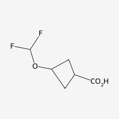 O=C(O)C1CC(OC(F)F)C1